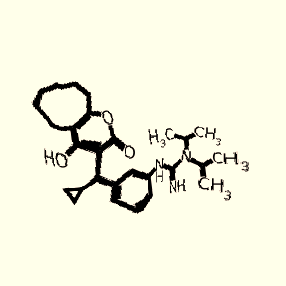 CC(C)N(C(=N)Nc1cccc(C(c2c(O)c3c(oc2=O)CCCCCC3)C2CC2)c1)C(C)C